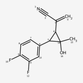 C=C(C#N)C1C(c2ccc(F)c(F)c2)C1(C)O